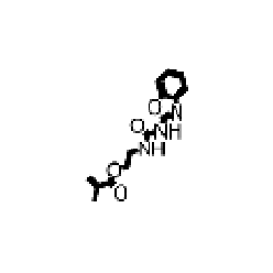 C=C(C)C(=O)OCCNC(=O)Nc1nc2ccccc2o1